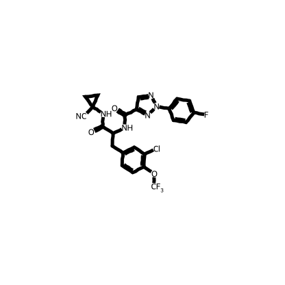 N#CC1(NC(=O)C(Cc2ccc(OC(F)(F)F)c(Cl)c2)NC(=O)c2cnn(-c3ccc(F)cc3)n2)CC1